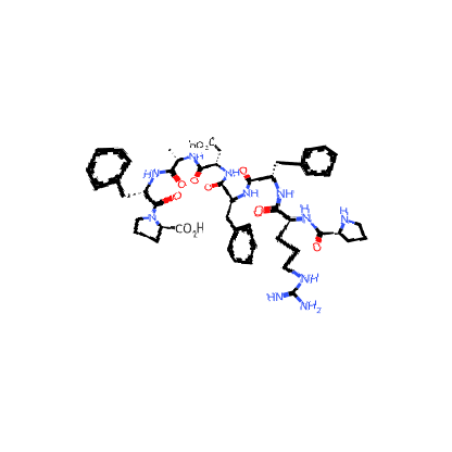 C[C@H](NC(=O)[C@H](CC(=O)O)NC(=O)[C@H](Cc1ccccc1)NC(=O)[C@H](Cc1ccccc1)NC(=O)[C@H](CCCNC(=N)N)NC(=O)[C@@H]1CCCN1)C(=O)N[C@@H](Cc1ccccc1)C(=O)N1CCC[C@@H]1C(=O)O